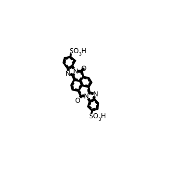 O=c1c2ccc3c4c(ccc(c24)c2nc4ccc(S(=O)(=O)O)cc4n12)c(=O)n1c2cc(S(=O)(=O)O)ccc2nc31